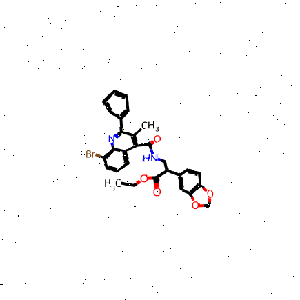 CCOC(=O)C(CNC(=O)c1c(C)c(-c2ccccc2)nc2c(Br)cccc12)c1ccc2c(c1)OCO2